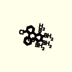 Bc1c(B)c(B)c(-c2cccc(Cl)c2-c2ccccc2)c(B)c1B